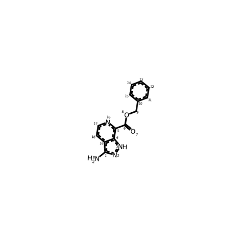 Nc1n[nH]c2c(C(=O)OCc3ccccc3)nccc12